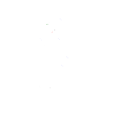 Cc1nc(-c2cnc(O[C@@H]3CCNC[C@@H]3F)c(C(N)=O)c2)cn1COCC[Si](C)(C)C